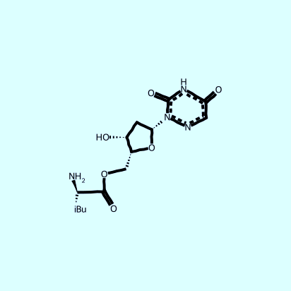 CC[C@@H](C)[C@@H](N)C(=O)OC[C@H]1O[C@@H](n2ncc(=O)[nH]c2=O)C[C@H]1O